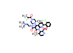 C=C(F)C(=O)N1CCN(c2c(C(=O)NCCN(C)C)c(=O)n(-c3c(C)ccnc3C(C)C)c3nc(-c4c(O)cccc4F)c(F)cc23)[C@@H](C)C1